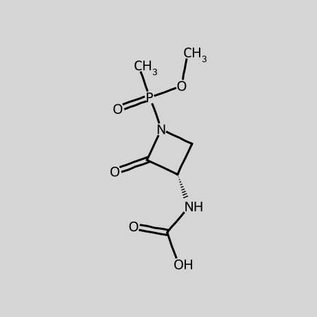 COP(C)(=O)N1C[C@H](NC(=O)O)C1=O